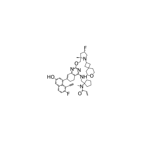 C#Cc1c(F)ccc2cc(O)cc(C3=Cc4nc(OC[C@]5(C)C[C@@H](F)CN5C5CC6(CCOCC6)C5)nc(NCC5(N(C)C(=O)C=C)CCCC5)c4CC3)c12